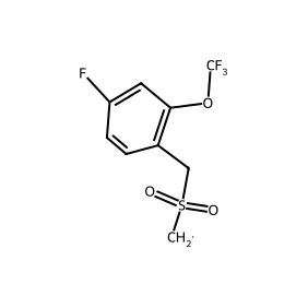 [CH2]S(=O)(=O)Cc1ccc(F)cc1OC(F)(F)F